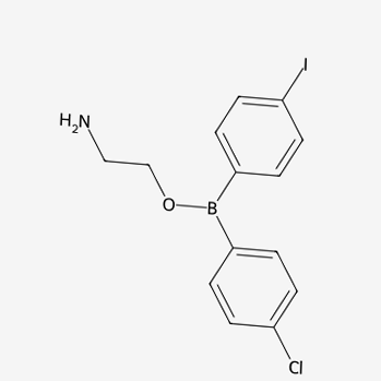 NCCOB(c1ccc(Cl)cc1)c1ccc(I)cc1